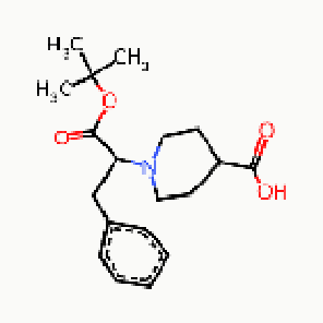 CC(C)(C)OC(=O)C(Cc1ccccc1)N1CCC(C(=O)O)CC1